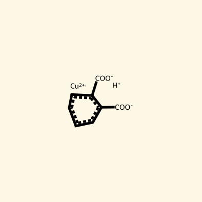 O=C([O-])c1ccccc1C(=O)[O-].[Cu+2].[H+]